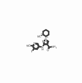 N#Cc1ncc(Nc2nn([C@H]3CCCC[C@@H]3C#N)cc2C(N)=O)cc1F